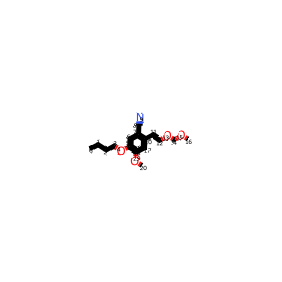 CCCCOc1cc(C#N)c(CCOCOC)cc1OC